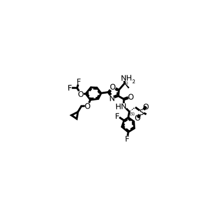 C[C@H](N)c1oc(-c2ccc(OC(F)F)c(OCC3CC3)c2)nc1C(=O)N[C@H](CS(C)(=O)=O)c1ccc(F)cc1F